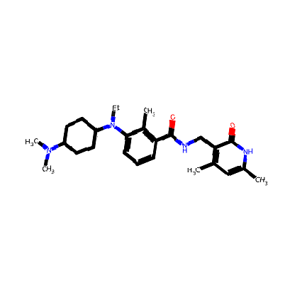 CCN(c1cccc(C(=O)NCc2c(C)cc(C)[nH]c2=O)c1C)C1CCC(N(C)C)CC1